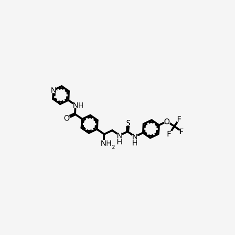 NC(CNC(=S)Nc1ccc(OC(F)(F)F)cc1)c1ccc(C(=O)Nc2ccncc2)cc1